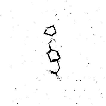 C1CCOC1.CSc1ccc(CC(=O)O)cc1